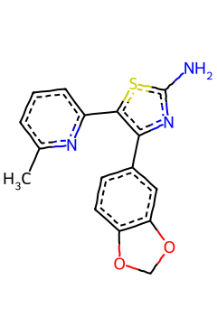 Cc1cccc(-c2sc(N)nc2-c2ccc3c(c2)OCO3)n1